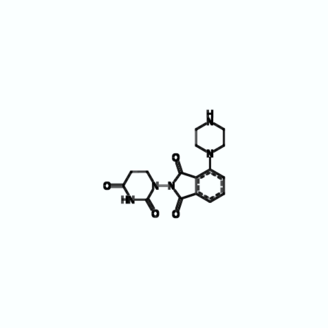 O=C1CCN(N2C(=O)c3cccc(N4CCNCC4)c3C2=O)C(=O)N1